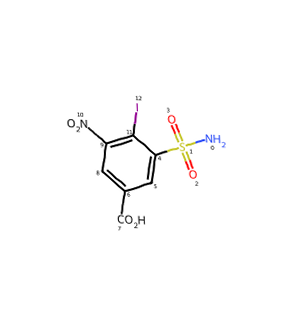 NS(=O)(=O)c1cc(C(=O)O)cc([N+](=O)[O-])c1I